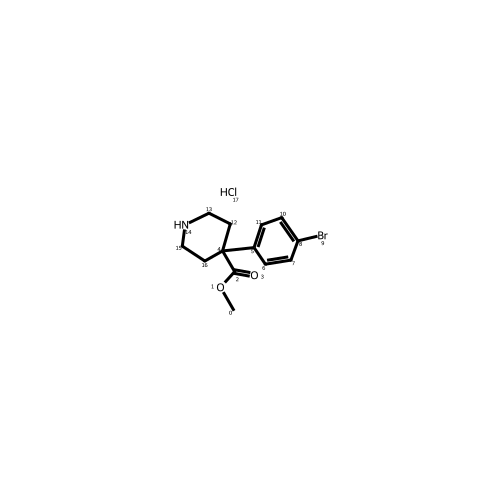 COC(=O)C1(c2ccc(Br)cc2)CCNCC1.Cl